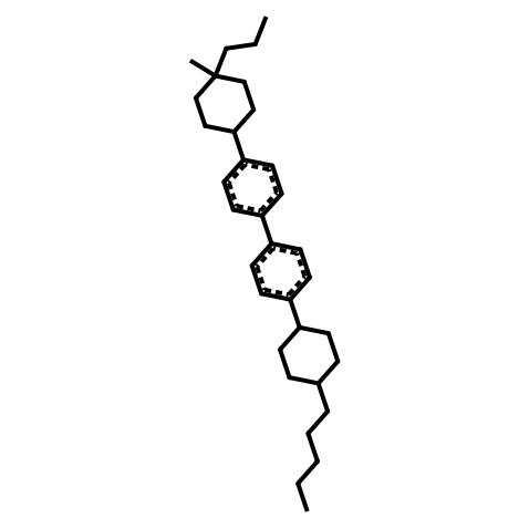 CCCCCC1CCC(c2ccc(-c3ccc(C4CCC(C)(CCC)CC4)cc3)cc2)CC1